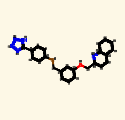 c1cc(CSc2ccc(-c3nnn[nH]3)cc2)cc(OCc2ccc3ccccc3n2)c1